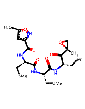 COC[C@H](NC(=O)[C@@H](CSC)NC(=O)c1cc(C)on1)C(=O)N[C@@H](CC(C)C)C(=O)[C@@]1(C)CO1